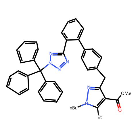 CCCCn1nc(Cc2ccc(-c3ccccc3-c3nnn(C(c4ccccc4)(c4ccccc4)c4ccccc4)n3)cc2)c(C(=O)OC)c1CC